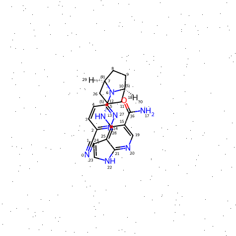 N#Cc1ccc(N2[C@@H]3CC[C@H]2C[C@H](Nc2c(C(N)=O)cnc4[nH]ccc24)C3)nn1